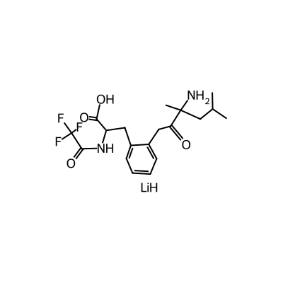 CC(C)CC(C)(N)C(=O)Cc1ccccc1CC(NC(=O)C(F)(F)F)C(=O)O.[LiH]